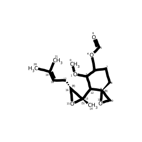 COC1C(OC=O)CC[C@]2(CO2)C1[C@]1(C)O[C@@H]1CC=C(C)C